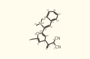 C=C(C(C#N)C#N)C1C=C(C)OC(C(=Cc2ccccc2)N(C)C)=C1